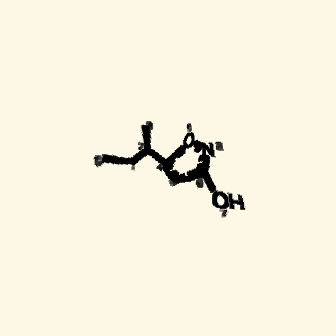 CCC(C)c1cc(O)no1